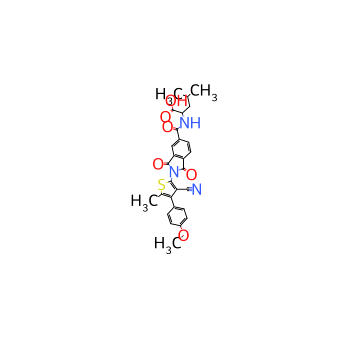 COc1ccc(-c2c(C)sc(N3C(=O)c4ccc(C(=O)NC(CC(C)C)C(=O)O)cc4C3=O)c2C#N)cc1